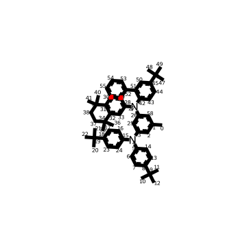 Cc1cc(N(c2ccc(C(C)(C)C)cc2)c2ccc(C(C)(C)C)cc2)cc(N(c2ccc3c(c2)C(C)(C)CCC3(C)C)c2ccc(C(C)(C)C)cc2-c2ccccc2)c1